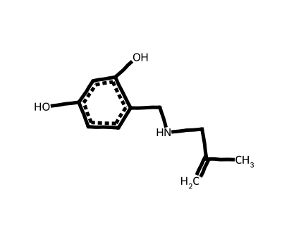 C=C(C)CNCc1ccc(O)cc1O